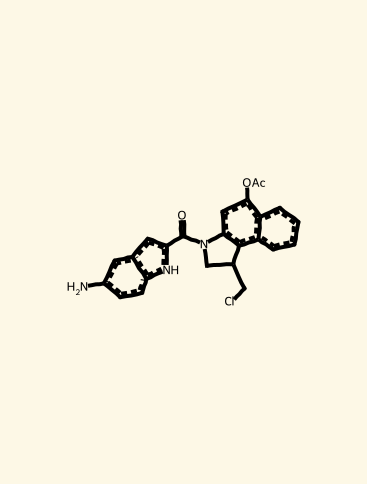 CC(=O)Oc1cc2c(c3ccccc13)C(CCl)CN2C(=O)c1cc2cc(N)ccc2[nH]1